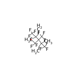 C=CC(C)(C(F)(F)F)C(C(F)(F)F)(C(F)(F)F)C(C)(C=C)C(F)(F)F